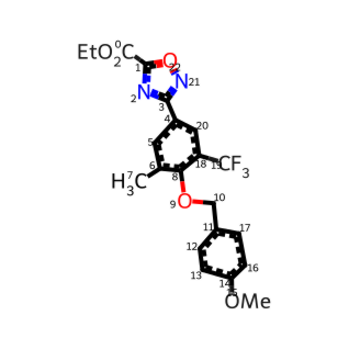 CCOC(=O)c1nc(-c2cc(C)c(OCc3ccc(OC)cc3)c(C(F)(F)F)c2)no1